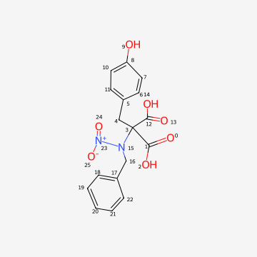 O=C(O)C(Cc1ccc(O)cc1)(C(=O)O)N(Cc1ccccc1)[N+](=O)[O-]